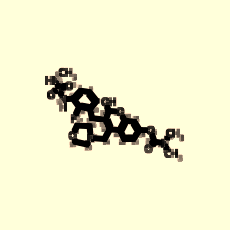 CNS(=O)(=O)Nc1cccc(CC2=C(CN3CCOCC3)c3ccc(OC(=O)N(C)C)cc3OC2O)c1F